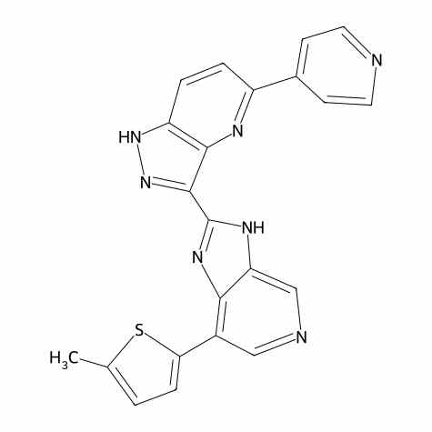 Cc1ccc(-c2cncc3[nH]c(-c4n[nH]c5ccc(-c6ccncc6)nc45)nc23)s1